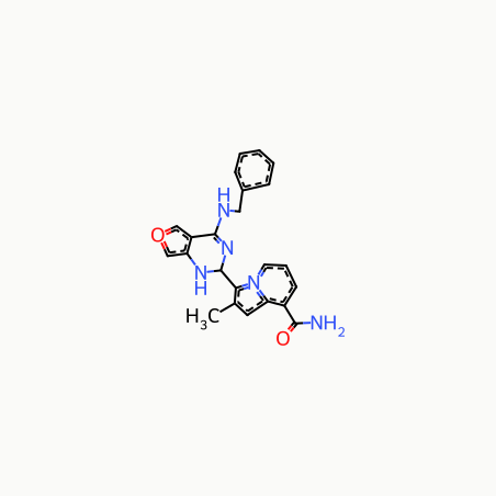 Cc1cc2c(C(N)=O)cccn2c1C1N=C(NCc2ccccc2)c2cocc2N1